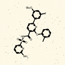 Cc1ccccc1Oc1nc(-c2cc(F)cc(OCC(C)C)c2)ccc1C(=O)NS(=O)(=O)c1cccc(N)n1